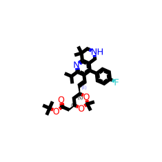 CC(C)c1nc2c(c(-c3ccc(F)cc3)c1/C=C/[C@@H]1C[C@H](CC(=O)OC(C)(C)C)OC(C)(C)O1)CNCC2(C)C